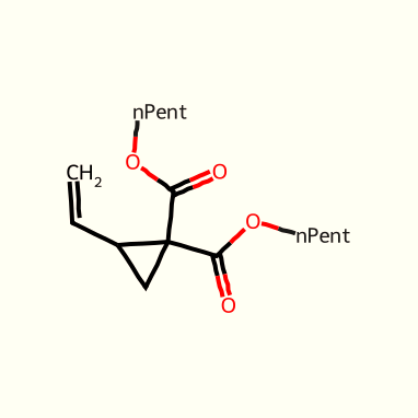 C=CC1CC1(C(=O)OCCCCC)C(=O)OCCCCC